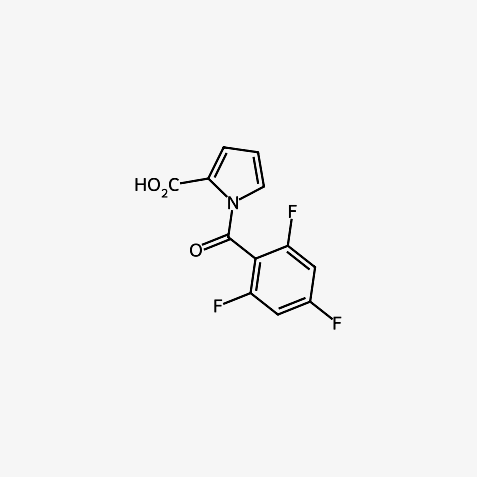 O=C(O)c1cccn1C(=O)c1c(F)cc(F)cc1F